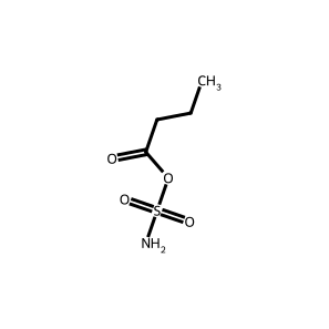 CCCC(=O)OS(N)(=O)=O